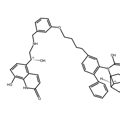 O=C(O)N(c1cc(CCCCOc2cccc(CNC[C@H](O)c3ccc(O)c4[nH]c(=O)ccc34)c2)ccc1-c1ccccc1)[C@H]1CN2CCC1CC2